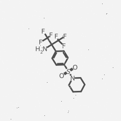 NC(c1ccc(S(=O)(=O)N2CCCCC2)cc1)(C(F)(F)F)C(F)(F)F